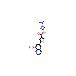 CN(C)C1CC(NC(=O)c2csc(-c3cc(O)c4ncccc4c3)c2)C1